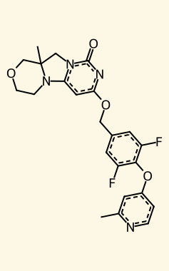 Cc1cc(Oc2c(F)cc(COc3cc4n(c(=O)n3)CC3(C)COCCN43)cc2F)ccn1